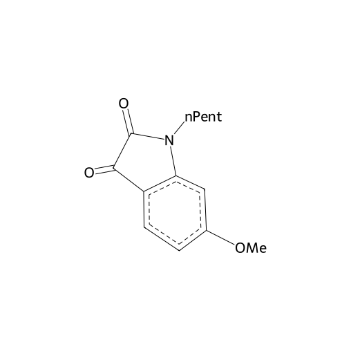 CCCCCN1C(=O)C(=O)c2ccc(OC)cc21